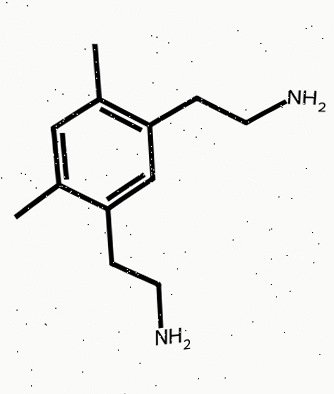 Cc1cc(C)c(CCN)cc1CCN